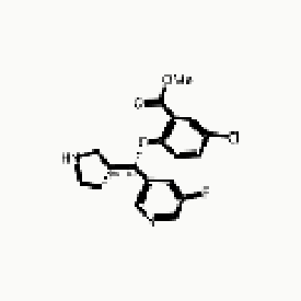 COC(=O)c1cc(Cl)ccc1O[C@H](c1cncc(F)c1)[C@@H]1CCNC1